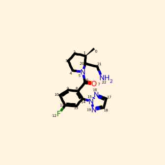 C[C@@H]1CCCN(C(=O)c2ccc(F)cc2-n2nccn2)C1CN